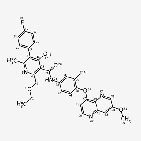 CCOCc1nc(C)c(-c2ccc(F)cc2)c(O)c1C(=O)Nc1ccc(Oc2ccnc3cc(OC)cnc23)c(F)c1